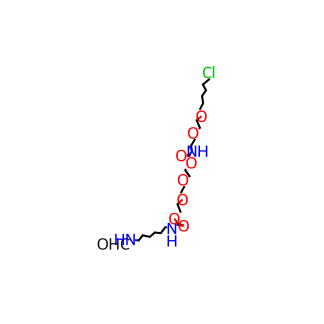 O=CNCCCCCCNC(=O)OCCOCCOCCOC(=O)NCCOCCOCCCCCCCl